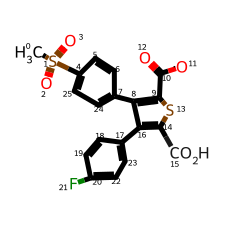 CS(=O)(=O)c1ccc(-c2c(C([O])=O)sc(C(=O)O)c2-c2ccc(F)cc2)cc1